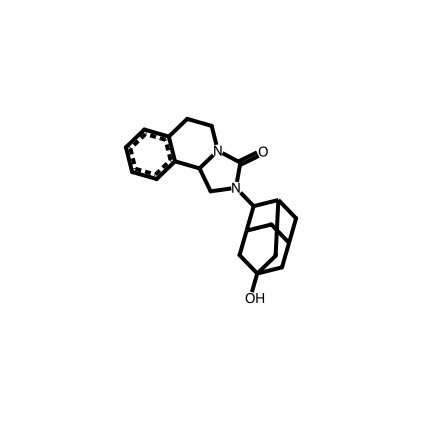 O=C1N2CCc3ccccc3C2CN1C1C2CC3CC1CC(O)(C3)C2